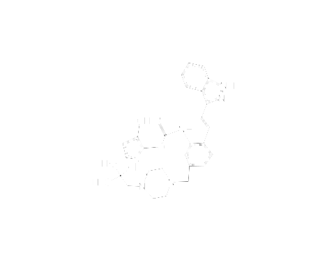 Cc1ccsc1OC(=O)Nc1cc(CN2CCN(CC(C)(C)O)CC2)ccc1/C=C/c1n[nH]c2ccccc12